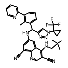 Cc1c(-c2ccccn2)cccc1C(Nc1cc(C#N)c2ncc(C#N)c(NCC(C)(C)C)c2c1)c1cn(C2(C(F)(F)F)CC2)nn1